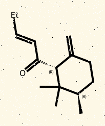 C=C1CC[C@@H](C)C(C)(C)[C@@H]1C(=O)C=CCC